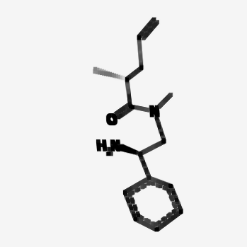 C=CC[C@@H](C)C(=O)N(C)C[C@H](N)c1ccccc1